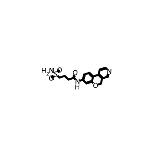 NS(=O)(=O)CCCC(=O)Nc1ccc2c(c1)OCc1cnccc1-2